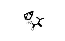 C1C2CC3C1C3C2.C=C(C(=O)O)C(C)C